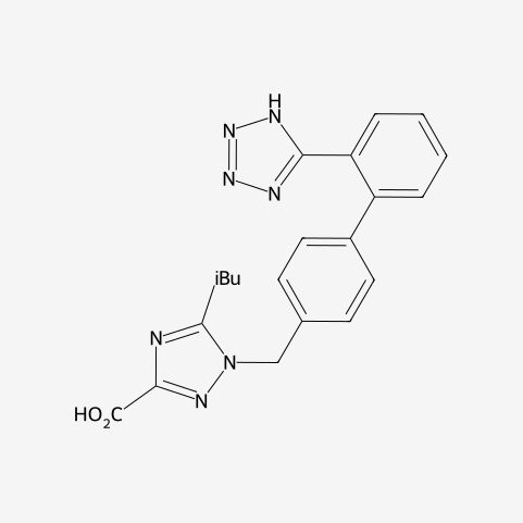 CCC(C)c1nc(C(=O)O)nn1Cc1ccc(-c2ccccc2-c2nnn[nH]2)cc1